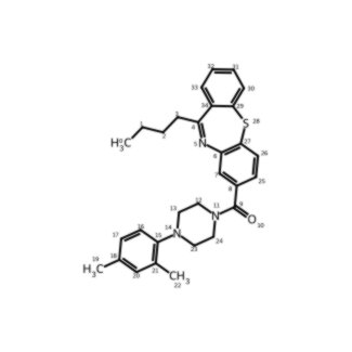 CCCCC1=Nc2cc(C(=O)N3CCN(c4ccc(C)cc4C)CC3)ccc2Sc2ccccc21